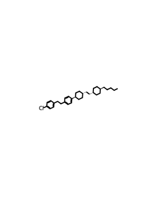 CCCCC[C@H]1CC[C@H](CC[C@H]2CC[C@H](c3ccc(CCc4ccc(Cl)cc4)cc3)CC2)CC1